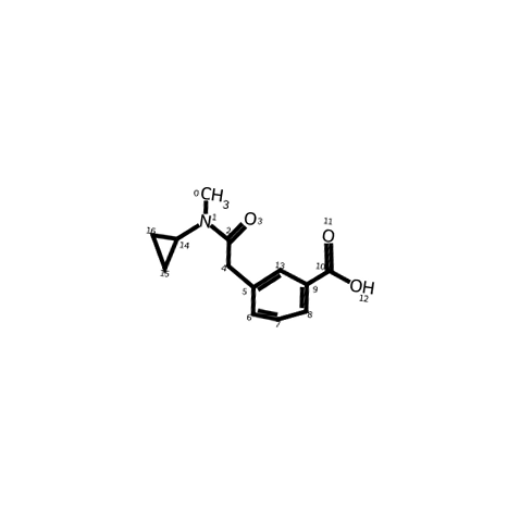 CN(C(=O)Cc1cccc(C(=O)O)c1)C1CC1